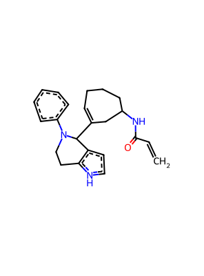 C=CC(=O)NC1CCCC=C(C2c3cc[nH]c3CCN2c2ccccc2)C1